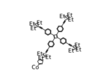 CC[Si](C#Cc1ccc(C2=C(c3ccc(C#C[Si](CC)(CC)CC)cc3)C(c3ccc(C#C[Si](CC)(CC)CC)cc3)=C2c2ccc(C#C[Si](CC)(CC)CC)cc2)cc1)(CC)CC.[Co][C]1=CC=CC1